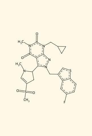 CN1C=C(S(C)(=O)=O)CC1c1c2c(=O)n(C)c(=O)n(CC3CC3)c2nn1Cc1csc2ccc(F)cc12